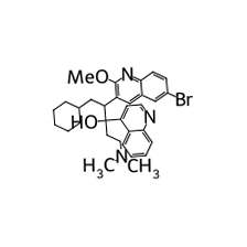 COc1nc2ccc(Br)cc2cc1C(CC1CCCCC1)C(O)(CCN(C)C)c1ccnc2ccccc12